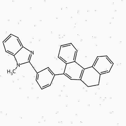 Cn1c(-c2cccc(-c3cc4c(c5ccccc35)-c3ccccc3CC4)c2)nc2ccccc21